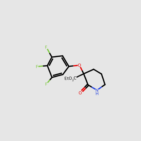 CCOC(=O)C1(Oc2cc(F)c(F)c(F)c2)CCCNC1=O